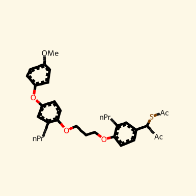 CCCc1cc(Oc2ccc(OC)cc2)ccc1OCCCOc1ccc(C(SC(C)=O)C(C)=O)cc1CCC